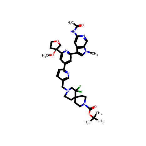 CO[C@@]1(c2cc(-c3ccc(CN4CCC5(CCN(C(=O)OC(C)(C)C)CC5)C(F)(F)C4)cn3)cc(-c3cn(C)c4cnc(NC(C)=O)cc34)n2)CCOC1